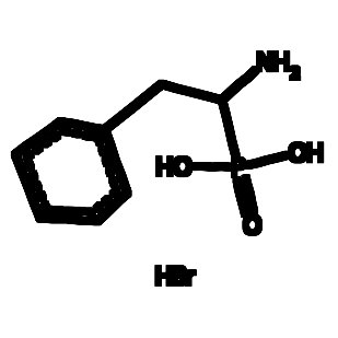 Br.NC(Cc1ccccc1)P(=O)(O)O